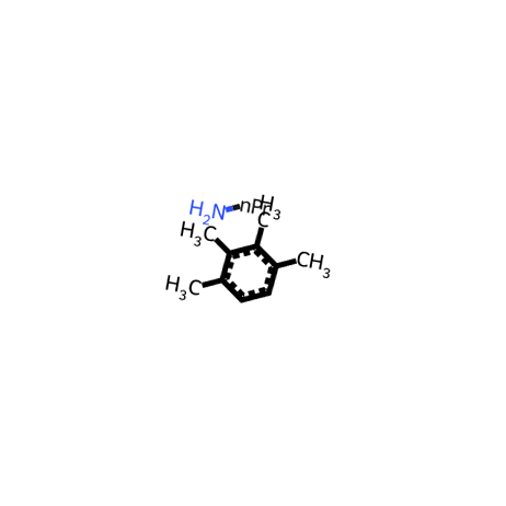 CCCN.Cc1ccc(C)c(C)c1C